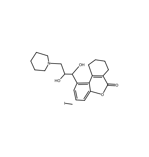 CI.O=c1oc2cccc(C(O)C(O)CN3CCCCC3)c2c2c1CCCC2